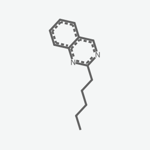 CCCCCc1ncc2ccccc2n1